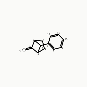 O=C1C2CCC1C2c1ccccc1